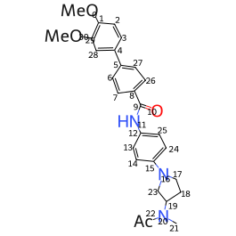 COc1ccc(-c2ccc(C(=O)Nc3ccc(N4CCC(N(C)C(C)=O)C4)cc3)cc2)cc1OC